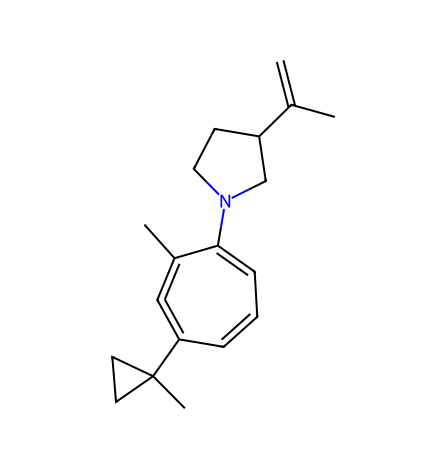 C=C(C)C1CCN(C2=CC=CC(C3(C)CC3)=C=C2C)C1